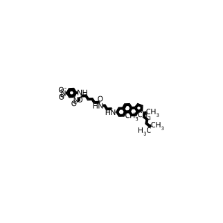 CC(C)CCCC(C)[C@H]1CCC2C3CC=C4C[C@@H](NCCCNC(=O)CCCCCNc5ccc([N+](=O)[O-])cc5[N+](=O)[O-])CC[C@]4(C)C3CC[C@@]21C